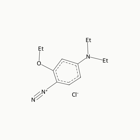 CCOc1cc(N(CC)CC)ccc1[N+]#N.[Cl-]